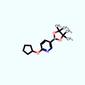 CC1(C)OB(c2ccc(OC3CCCC3)nc2)OC1(C)C